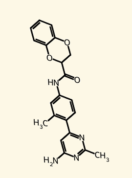 Cc1nc(N)cc(-c2ccc(NC(=O)C3COc4ccccc4O3)cc2C)n1